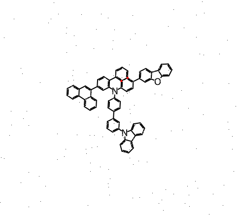 c1ccc(-c2ccc(-c3cc4ccccc4c4ccccc34)cc2N(c2ccc(-c3cccc(-n4c5ccccc5c5ccccc54)c3)cc2)c2ccc(-c3ccc4c(c3)oc3ccccc34)cc2)cc1